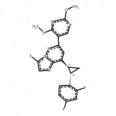 COc1ncc(-c2cc([C@H]3C[C@@H]3c3ccc(F)cc3F)c3ncc(F)n3n2)c(OC)n1